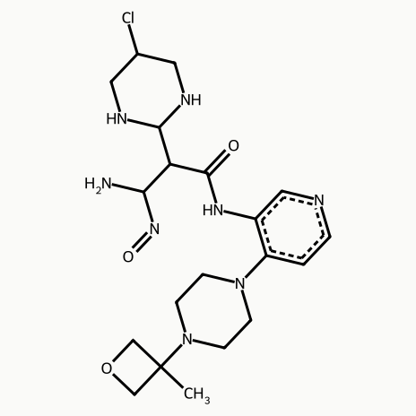 CC1(N2CCN(c3ccncc3NC(=O)C(C(N)N=O)C3NCC(Cl)CN3)CC2)COC1